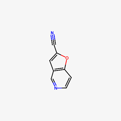 N#Cc1cc2cnccc2o1